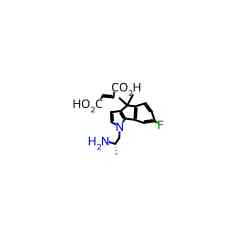 C[C@H](N)Cn1ccc2c1-c1cc(F)ccc1C2(C)C.O=C(O)C=CC(=O)O